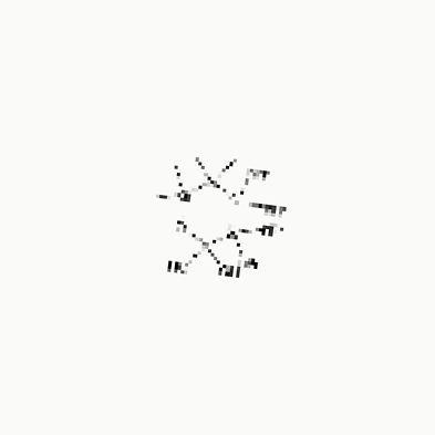 CCC[Si]1(CCC)C(O)(O)O[Si](C)(C)[Si](C)(C)[Si]1(CCC)CCC